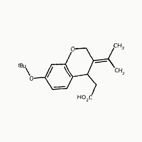 CC(C)=C1COc2cc(OC(C)(C)C)ccc2C1CC(=O)O